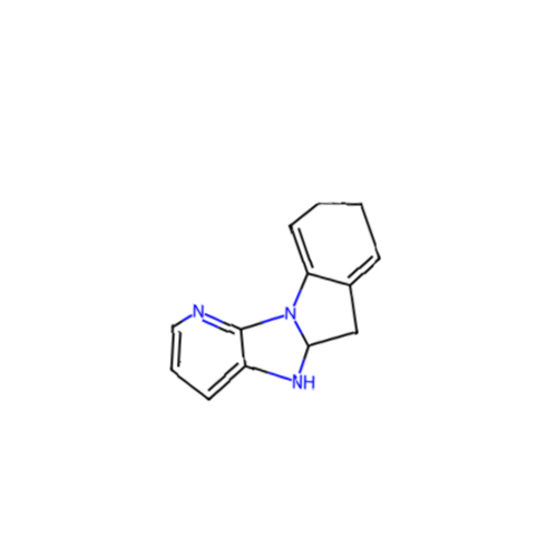 C1=C2CC3Nc4cccnc4N3C2=CCC1